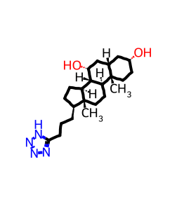 C[C@]12CC[C@@H](O)C[C@H]1C[C@@H](O)[C@@H]1[C@@H]2CC[C@]2(C)[C@@H](CCCc3nnn[nH]3)CC[C@@H]12